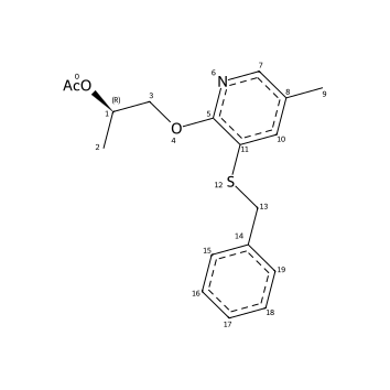 CC(=O)O[C@H](C)COc1ncc(C)cc1SCc1ccccc1